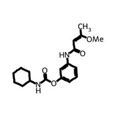 CO/C(C)=C\C(=O)Nc1cccc(OC(=O)NC2CCCCC2)c1